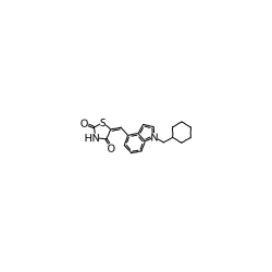 O=C1NC(=O)C(=Cc2cccc3c2ccn3CC2CCCCC2)S1